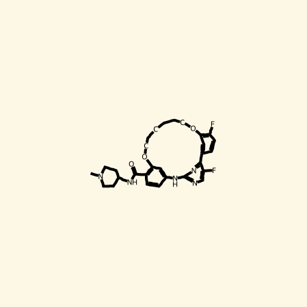 CN1CCC(NC(=O)c2ccc3cc2OCCCCCCOc2cc(ccc2F)-c2nc(ncc2F)N3)CC1